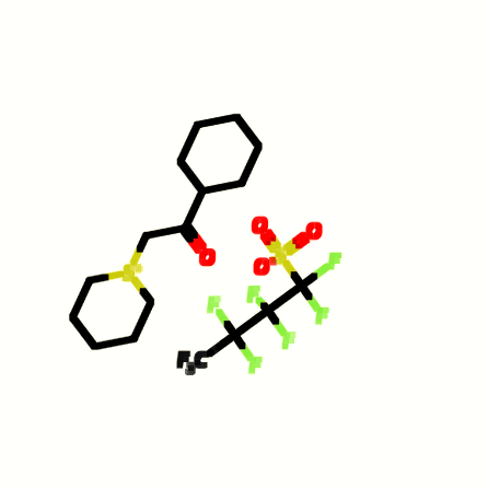 O=C(C[S+]1CCCCC1)C1CCCCC1.O=S(=O)([O-])C(F)(F)C(F)(F)C(F)(F)C(F)(F)F